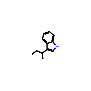 CCC(C)c1c[nH]c2cc[c]cc12